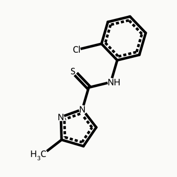 Cc1ccn(C(=S)Nc2ccccc2Cl)n1